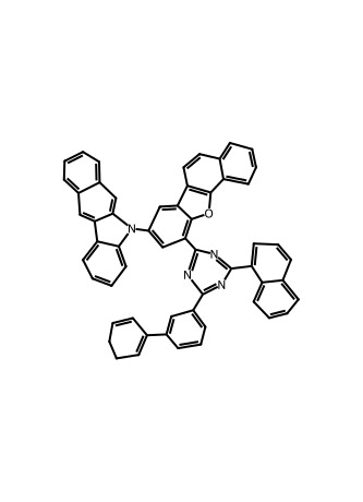 C1=CC(c2cccc(-c3nc(-c4cccc5ccccc45)nc(-c4cc(-n5c6ccccc6c6cc7ccccc7cc65)cc5c4oc4c6ccccc6ccc54)n3)c2)=CCC1